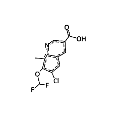 Cc1c(OC(F)F)c(Cl)cc2cc(C(=O)O)cnc12